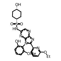 CCOC1=NC(c2nc3ncc(NS(=O)(=O)[C@H]4CC[C@@H](O)CC4)nc3n2-c2c(O)cccc2OC)=C=C=C1